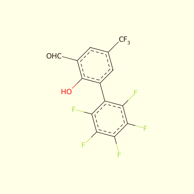 O=Cc1cc(C(F)(F)F)cc(-c2c(F)c(F)c(F)c(F)c2F)c1O